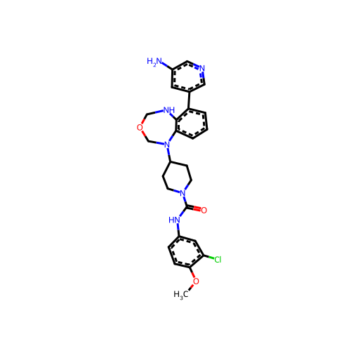 COc1ccc(NC(=O)N2CCC(N3COCNc4c(-c5cncc(N)c5)cccc43)CC2)cc1Cl